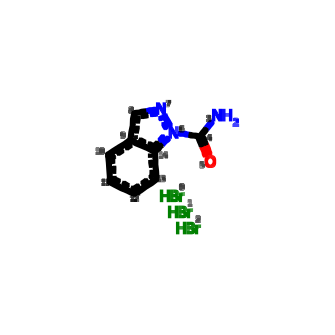 Br.Br.Br.NC(=O)n1ncc2cc[c]cc21